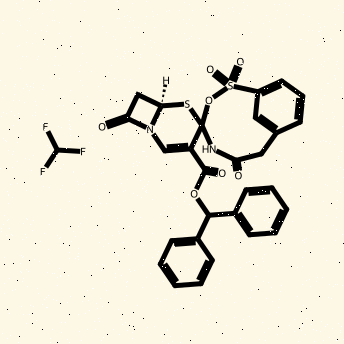 FC(F)F.O=C1Cc2cccc(c2)S(=O)(=O)OC2(N1)S[C@@H]1CC(=O)N1C=C2C(=O)OC(c1ccccc1)c1ccccc1